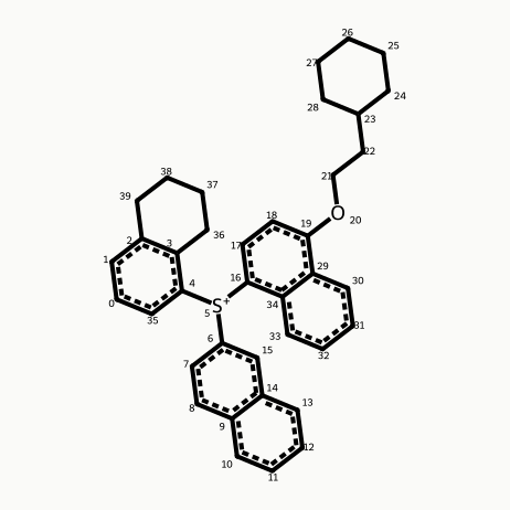 c1cc2c(c([S+](c3ccc4ccccc4c3)c3ccc(OCCC4CCCCC4)c4ccccc34)c1)CCCC2